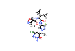 CCC(c1cc(Cl)n[nH]c1=O)n1cc(NC(=O)C(NC(=O)c2conc2C(C)C)C(C2CC2)C2CC2)c(F)n1